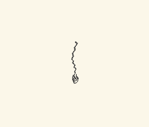 C=CCCCCCCCCCCCCCN1CCOCC1